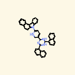 C1=C(C2N=C(c3cccc4ccccc34)NC(c3cccc4ccccc34)N2)CNC(n2c3ccccc3c3c4ccccc4ccc32)=C1